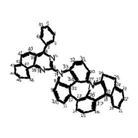 c1ccc(-c2nc(-n3c4cccc5c6cccc7c8c9ccccc9ccc8n(c8cccc3c8c54)c67)nc3c2ccc2ccccc23)cc1